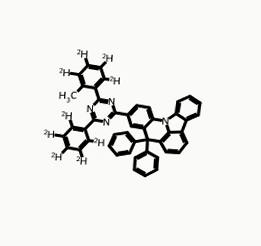 [2H]c1c([2H])c([2H])c(-c2nc(-c3ccc4c(c3)C(c3ccccc3)(c3ccccc3)c3cccc5c6ccccc6n-4c35)nc(-c3c([2H])c([2H])c([2H])c([2H])c3C)n2)c([2H])c1[2H]